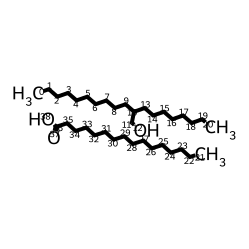 CCCCCCCCCCC(CO)CCCCCCCC.CCCCCCCCCCCCCCCC(=O)O